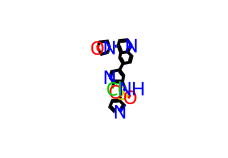 O=S(=O)(Nc1cc(-c2ccc3nccc(N4CCOCC4)c3c2)cnc1Cl)c1cccnc1